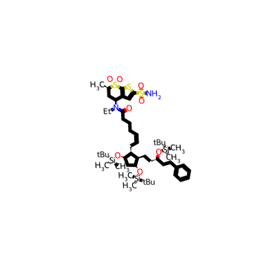 CCN(C(=O)CCC/C=C\C[C@@H]1[C@@H](CC[C@@H](CCc2ccccc2)O[Si](C)(C)C(C)(C)C)[C@H](O[Si](C)(C)C(C)(C)C)C[C@@H]1O[Si](C)(C)C(C)(C)C)[C@H]1C[C@H](C)S(=O)(=O)c2sc(S(N)(=O)=O)cc21